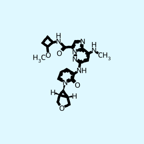 CNc1cc(Nc2cccn([C@H]3[C@@H]4COC[C@@H]43)c2=O)nn2c(C(=O)NC3CCC3OC)cnc12